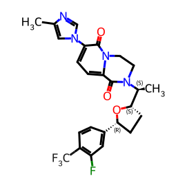 Cc1cn(-c2ccc3n(c2=O)CCN([C@@H](C)[C@@H]2CC[C@H](c4ccc(C(F)(F)F)c(F)c4)O2)C3=O)cn1